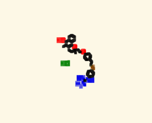 Cc1c2c(c3ccccc3c1O)OC(C)(CCOc1ccc(CCSc3ccc(NC(=N)N)cc3)cc1)CC2.Cl